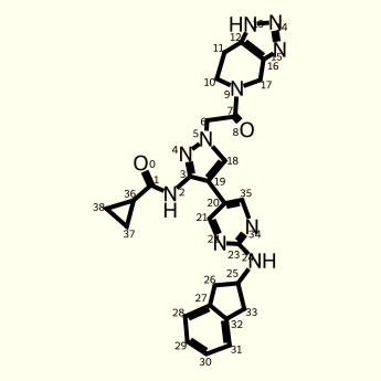 O=C(Nc1nn(CC(=O)N2CCc3[nH]nnc3C2)cc1-c1cnc(NC2Cc3ccccc3C2)nc1)C1CC1